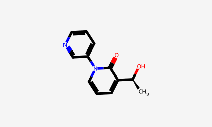 C[C@H](O)c1cccn(-c2cccnc2)c1=O